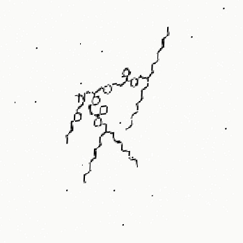 CCCCCCCCC(CCCCCCCC)COC(=O)CCOCC(CN(C)CCOCCCC)OCCC(=O)OCC(CCCCCCCC)CCCCCCCC